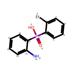 CCc1ccccc1P(=O)(O)c1ccccc1N